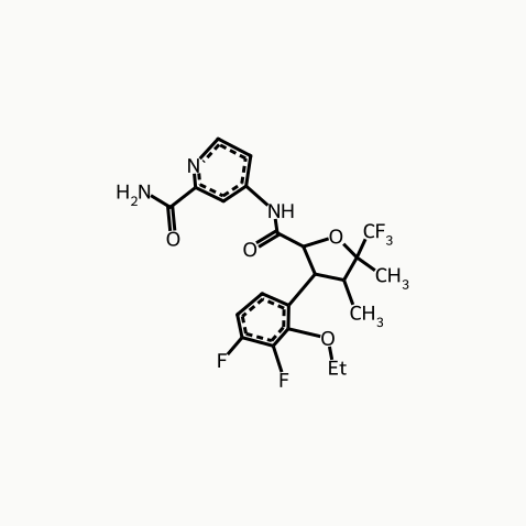 CCOc1c(C2C(C(=O)Nc3ccnc(C(N)=O)c3)OC(C)(C(F)(F)F)C2C)ccc(F)c1F